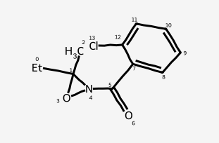 CCC1(C)ON1C(=O)c1ccccc1Cl